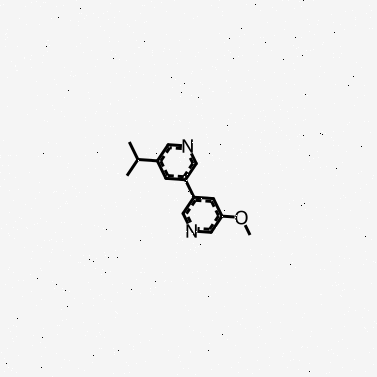 COc1cncc(-c2cncc(C(C)C)c2)c1